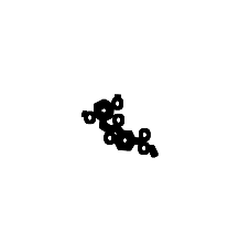 CCOC(=O)c1ccc2c(c1)C(=O)C(=Cc1cc(OC)ccc1OC)O2